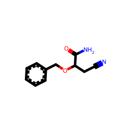 N#CC[C](OCc1ccccc1)C(N)=O